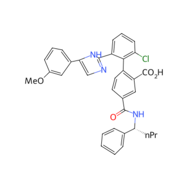 CCC[C@@H](NC(=O)c1ccc(-c2c(Cl)cccc2-c2ncc(-c3cccc(OC)c3)[nH]2)c(C(=O)O)c1)c1ccccc1